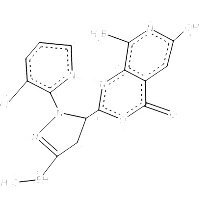 Bc1nc(O)cc2c(=O)oc(C3CC(BC)=NN3c3ncccc3Cl)nc12